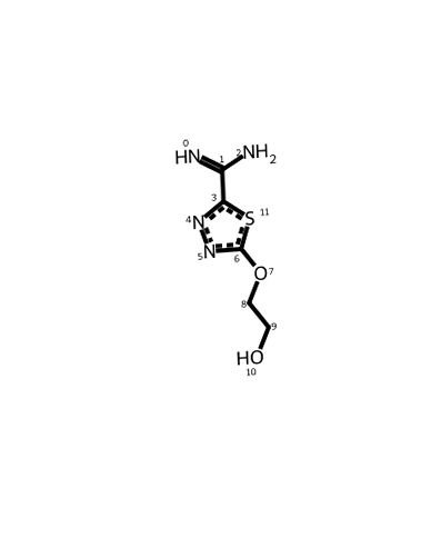 N=C(N)c1nnc(OCCO)s1